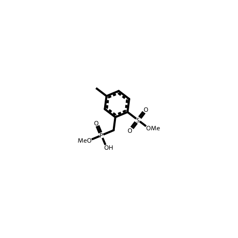 COP(=O)(O)Cc1cc(C)ccc1S(=O)(=O)OC